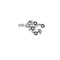 CCOC(=O)C1CCCCC1Nc1c(F)c(Oc2cccc(C3=NCCN3C)c2)nc(Oc2cc(C#N)ccc2OCc2ccccc2)c1F